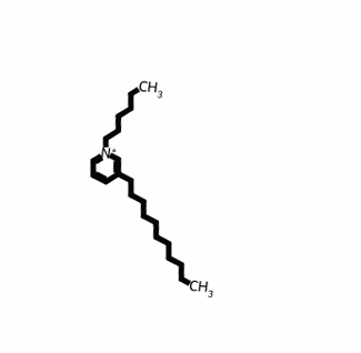 CCCCCCCCCCCc1ccc[n+](CCCCCC)c1